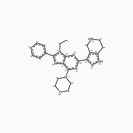 CCn1c(-c2ccncc2)nc2c(N3CCOCC3)nc(-c3n[nH]c4c3CNCC4)nc21